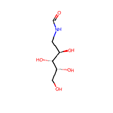 O=CNC[C@@H](O)[C@@H](O)[C@H](O)CO